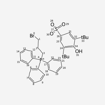 BrCCC[P+](c1ccccc1)(c1ccccc1)c1ccccc1.CC(C)(C)c1cc(S(=O)(=O)[O-])cc(C(C)(C)C)c1O